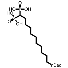 CCCCCCCCCCCCCCCCCCCCC(P(=O)(O)O)P(=O)(O)O